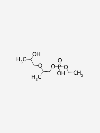 C=COP(=O)(O)OCC(C)OCC(C)O